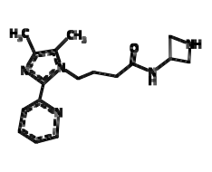 Cc1nc(-c2ccccn2)n(CCCC(=O)NC2CNC2)c1C